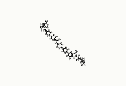 O=C1CCC(Nc2ccc(C3CCN(C(=O)CN4CCC(c5ccc(-c6cc(F)c7c(c6)C(=O)N(CC(=O)Nc6nccs6)C7)cc5)CC4)CC3)cc2)C(=O)N1